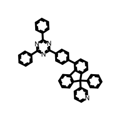 c1ccc(-c2nc(-c3ccccc3)nc(-c3ccc(-c4cccc5c4-c4ccccc4C5(c4ccccc4)c4cccnc4)cc3)n2)cc1